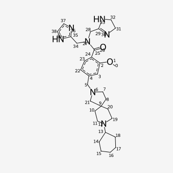 COc1cc(CN2CCC3(CCN(C4CCCCC4)CC3)C2)ccc1C(=O)N(CC1=NCCN1)Cc1ncc[nH]1